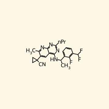 CCCc1nc(N[C@H](C)c2cccc(C(F)F)c2F)c2cc(C3(C#N)CC3)c(C)nc2n1